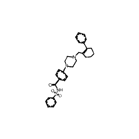 O=C(NS(=O)(=O)c1ccccc1)c1ccc(N2CCN(CC3=C(c4ccccc4)CCCC3)CC2)cc1